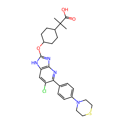 CC(C)(C(=O)O)C1CCC(Oc2nc3nc(-c4ccc(N5CCSCC5)cc4)c(Cl)cc3[nH]2)CC1